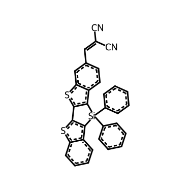 N#CC(C#N)=Cc1ccc2c3c(sc2c1)-c1sc2ccccc2c1[Si]3(c1ccccc1)c1ccccc1